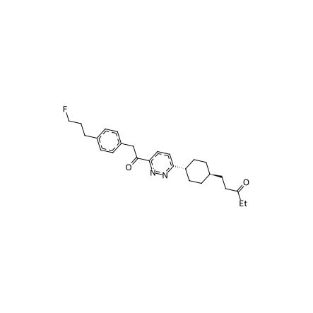 CCC(=O)CC[C@H]1CC[C@H](c2ccc(C(=O)Cc3ccc(CCCF)cc3)nn2)CC1